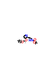 C[C@H](CO[Si](C)(C)C(C)(C)C)Oc1cccnc1C#CCNC(=O)OC(C)(C)C